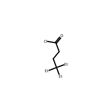 CCC(CC)(CC)CCC(=O)Cl